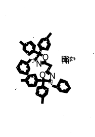 Cc1ccc(C2(c3ccc(C)cc3)OC(CC3=N[C@H](Cc4ccccc4)C(c4ccc(C)cc4)(c4ccc(C)cc4)O3)=N[C@@H]2Cc2ccccc2)cc1.[Br-].[Br-].[Ni+2]